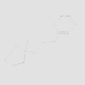 C[N+]1(CCCc2ccccc2)CCCC1